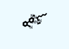 CCCCCC(c1ncc[nH]1)n1cnc2cc(-c3ccccc3C#N)ccc21